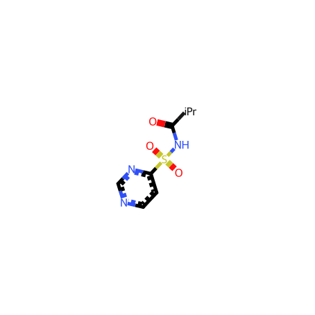 CC(C)C(=O)NS(=O)(=O)c1ccncn1